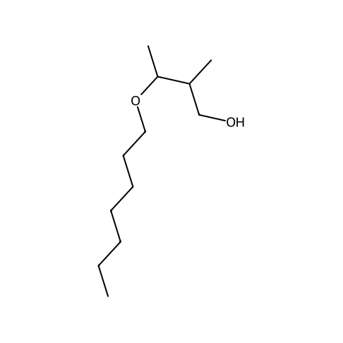 CCCCCCCOC(C)C(C)CO